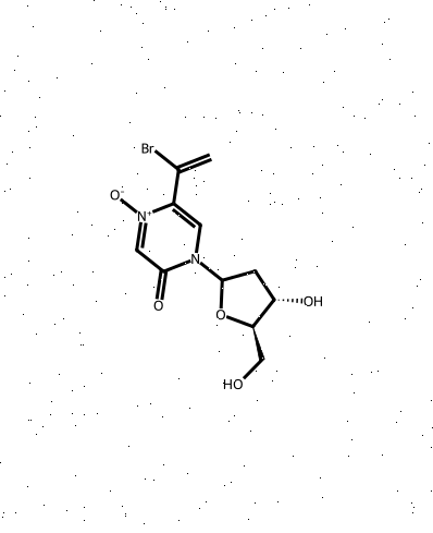 C=C(Br)c1cn(C2C[C@H](O)[C@@H](CO)O2)c(=O)c[n+]1[O-]